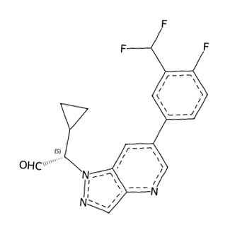 O=C[C@H](C1CC1)n1ncc2ncc(-c3ccc(F)c(C(F)F)c3)cc21